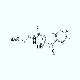 CCCCCCCCCCCCNC(=N)NC(=N)N(Cl)c1ccccc1